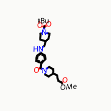 COC(=O)CCC1CCN(C(=O)c2ccc(NCC3CCN(C(=O)OC(C)(C)C)CC3)cc2)CC1